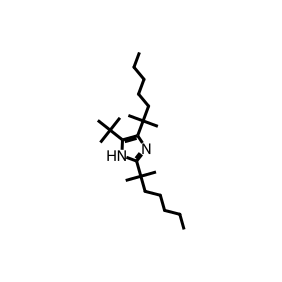 CCCCCC(C)(C)c1nc(C(C)(C)CCCCC)c(C(C)(C)C)[nH]1